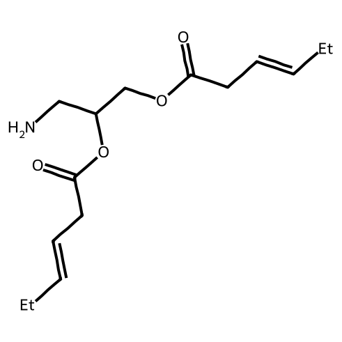 CC/C=C/CC(=O)OCC(CN)OC(=O)C/C=C/CC